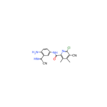 Cc1c(C(=O)Nc2ccc(N)c(C(=N)C#N)c2)nc(Cl)c(C#N)c1C